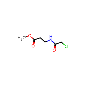 COC(=O)CCNC(=O)CCl